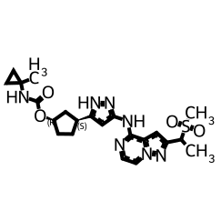 CC(c1cc2c(Nc3cc([C@H]4CC[C@@H](OC(=O)NC5(C)CC5)C4)[nH]n3)nccn2n1)S(C)(=O)=O